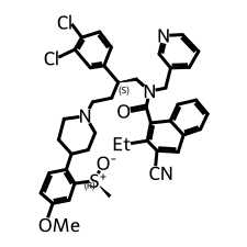 CCc1c(C#N)cc2ccccc2c1C(=O)N(Cc1cccnc1)C[C@@H](CCN1CCC(c2ccc(OC)cc2[S@+](C)[O-])CC1)c1ccc(Cl)c(Cl)c1